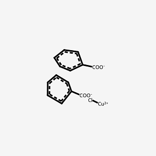 O=C([O-])c1ccccc1.O=C([O-])c1ccccc1.[Cl][Cu+2]